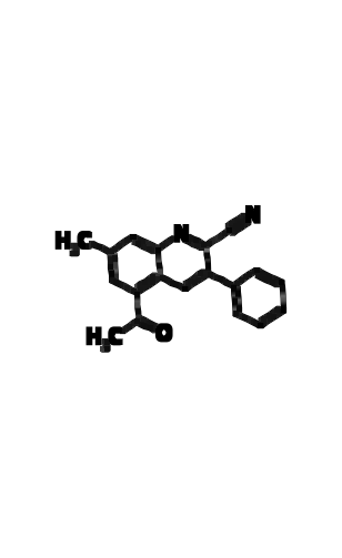 CC(=O)c1cc(C)cc2nc(C#N)c(-c3ccccc3)cc12